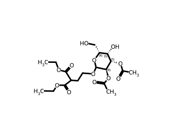 CCOC(=O)C(CCOC1O[C@H](CO)[C@H](O)[C@H](OC(C)=O)[C@H]1OC(C)=O)C(=O)OCC